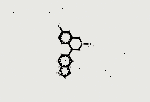 CN1Cc2cc(F)ccc2C(c2ccc3[nH]ccc3c2)C1